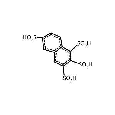 O=S(=O)(O)c1ccc2c(S(=O)(=O)O)c(S(=O)(=O)O)c(S(=O)(=O)O)cc2c1